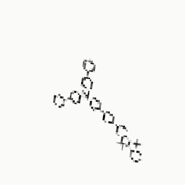 CC1(C)C2=C(c3ccccc31)C(C)(C)c1cc(-c3ccc(-c4ccc(N(c5ccc(-c6ccccc6)cc5)c5ccc(-c6ccccc6)cc5)cc4)cc3)ccc12